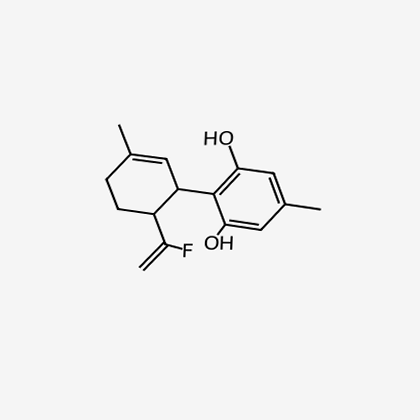 C=C(F)C1CCC(C)=CC1c1c(O)cc(C)cc1O